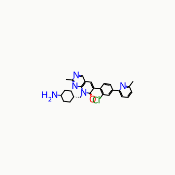 Cc1cccc(-c2ccc(-c3cc4cnc(C)nc4n(C[C@H]4CC[C@H](N)CC4)c3=O)c(Cl)c2)n1